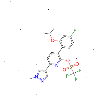 CC(C)Oc1cc(F)ccc1-c1ccc(-c2cnn(C)c2)nc1OS(=O)(=O)C(F)(F)F